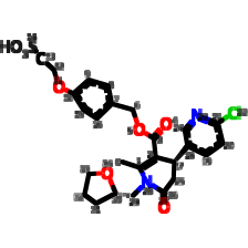 CC1=C(C(=O)OCc2ccc(OCCS(=O)(=O)O)cc2)[C@@H](c2ccc(Cl)nc2)CC(=O)N1C[C@@H]1CCCO1